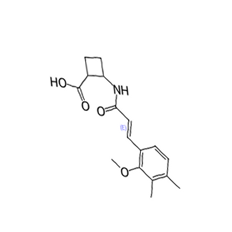 COc1c(/C=C/C(=O)NC2CCC2C(=O)O)ccc(C)c1C